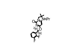 [2H]C([2H])(Oc1cc2n(c(=O)n1)CC(C)(C)N2C(C)C)c1cccc(F)c1F